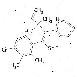 C=CC(C)(C)C1=C(c2ccc(Cl)c(C)c2C)SCc2cccnc21